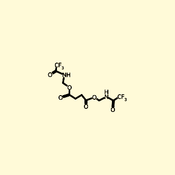 O=C(CCC(=O)OCNC(=O)C(F)(F)F)OCNC(=O)C(F)(F)F